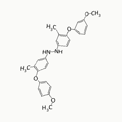 COc1ccc(Oc2ccc(NNc3ccc(Oc4cccc(OC)c4)c(C)c3)cc2C)cc1